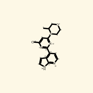 CC1COCCN1c1cc(Cl)nc(-c2ccnc3[nH]ccc23)n1